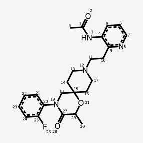 CC(=O)Nc1cccnc1CCN1CCC2(CC1)CN(c1ccccc1F)C(=O)C(C)O2